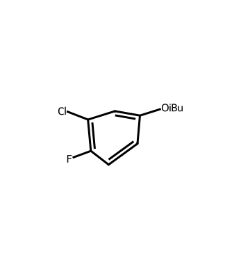 CC(C)COc1ccc(F)c(Cl)c1